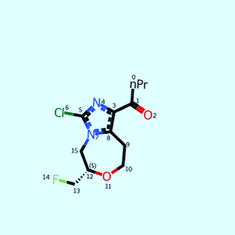 CCCC(=O)c1nc(Cl)n2c1CCO[C@H](CF)C2